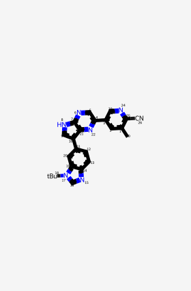 Cc1cc(-c2cnc3[nH]cc(-c4ccc5ncn(C(C)(C)C)c5c4)c3n2)cnc1C#N